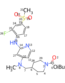 CC(C)COC(=O)N1CCC(CN(C)c2ccnc(Nc3ccc(S(C)(=O)=O)cc3F)c2)CC1